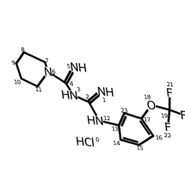 Cl.N=C(NC(=N)N1CCCCC1)Nc1cccc(OC(F)(F)F)c1